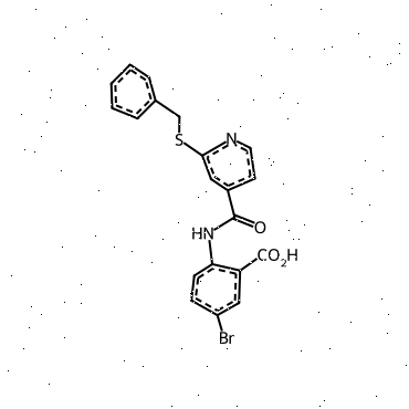 O=C(Nc1ccc(Br)cc1C(=O)O)c1ccnc(SCc2ccccc2)c1